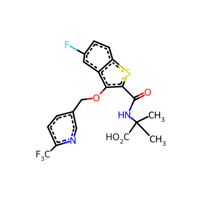 CC(C)(NC(=O)c1sc2ccc(F)cc2c1OCc1ccc(C(F)(F)F)nc1)C(=O)O